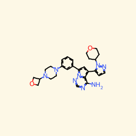 Nc1ncnn2c(-c3cccc(N4CCN(C5COC5)CC4)c3)cc(-c3ccnn3C3CCOCC3)c12